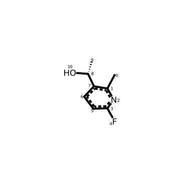 Cc1nc(F)ccc1[C@@H](C)O